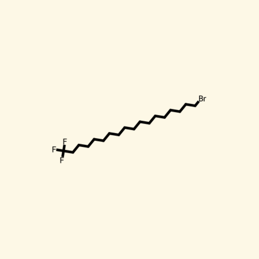 FC(F)(F)CCCCCCCCCCCCCCCCCBr